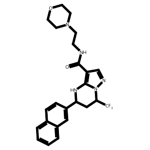 O=C(NCCN1CCOCC1)c1cnn2c1NC(c1ccc3ccccc3c1)CC2C(F)(F)F